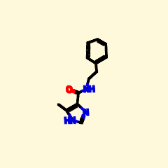 Cc1[nH]cnc1C(=O)NCCc1ccccc1